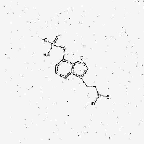 CCN(CCc1c[nH]c2c(OP(=O)(O)O)cccc12)C(C)C